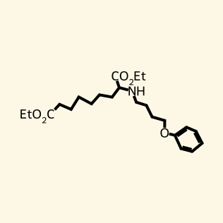 CCOC(=O)CCCCCCC(NCCCCOc1ccccc1)C(=O)OCC